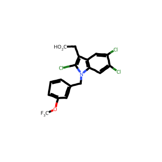 O=C(O)Cc1c(Cl)n(Cc2cccc(OC(F)(F)F)c2)c2cc(Cl)c(Cl)cc12